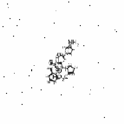 N[C@H]1CCN(C(=O)C[C@@H](NS(=O)(=O)Cc2ccccc2)C(=O)N2CCC[C@H]2C(=O)O)C1